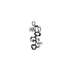 O=C1COc2ccc(-c3ccnc(Nc4ccccc4F)n3)cc2N1